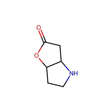 O=C1CC2NCCC2O1